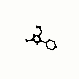 OCc1nc(Br)sc1C1CCOCC1